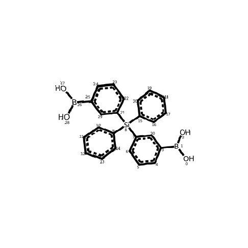 OB(O)c1cccc([Si](c2ccccc2)(c2ccccc2)c2cccc(B(O)O)c2)c1